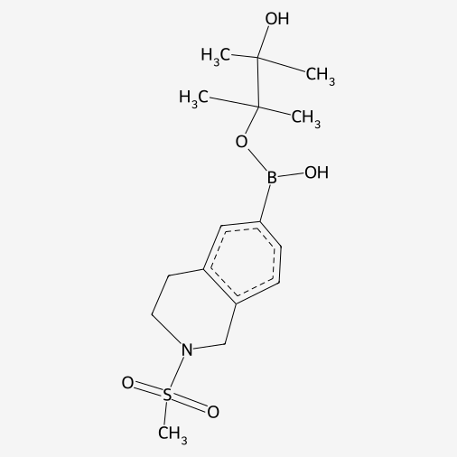 CC(C)(O)C(C)(C)OB(O)c1ccc2c(c1)CCN(S(C)(=O)=O)C2